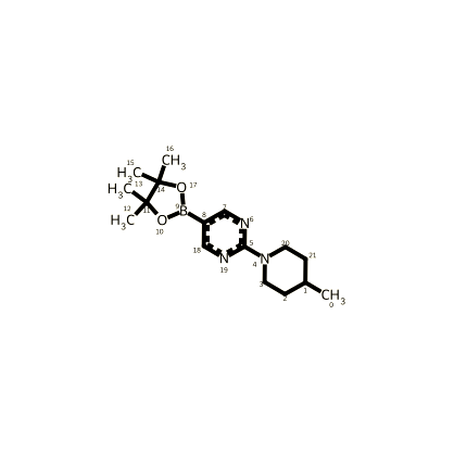 CC1CCN(c2ncc(B3OC(C)(C)C(C)(C)O3)cn2)CC1